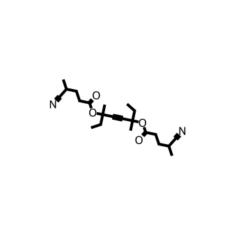 CCC(C)(C#CC(C)(CC)OC(=O)CCC(C)C#N)OC(=O)CCC(C)C#N